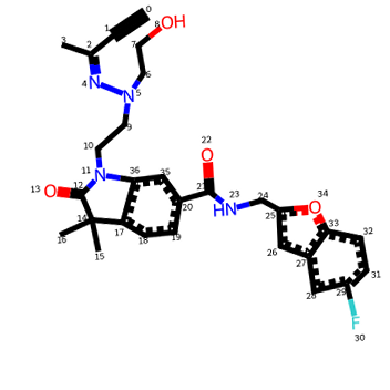 C#C/C(C)=N\N(CCO)CCN1C(=O)C(C)(C)c2ccc(C(=O)NCc3cc4cc(F)ccc4o3)cc21